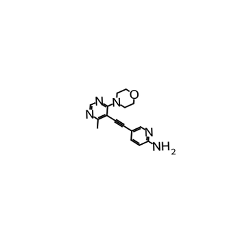 Cc1ncnc(N2CCOCC2)c1C#Cc1ccc(N)nc1